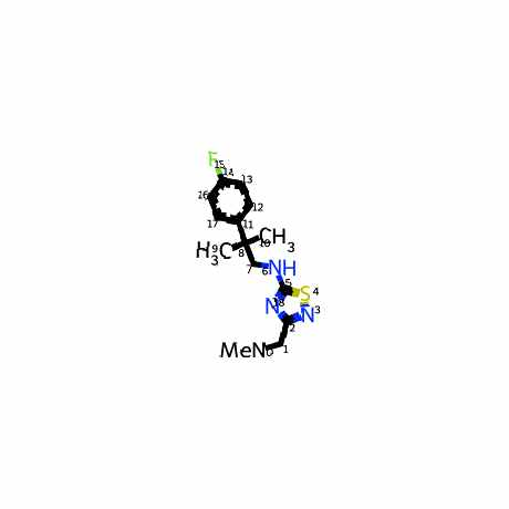 CNCc1nsc(NCC(C)(C)c2ccc(F)cc2)n1